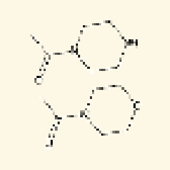 CC(=O)N1CCNCC1.CC(=O)N1CCOCC1